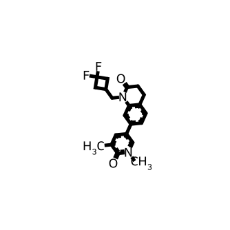 Cc1cc(-c2ccc3c(c2)N(CC2CC(F)(F)C2)C(=O)CC3)cn(C)c1=O